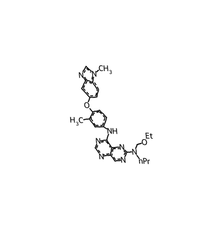 CCCN(COCC)c1ncc2ncnc(Nc3ccc(Oc4ccc5c(c4)ncn5C)c(C)c3)c2n1